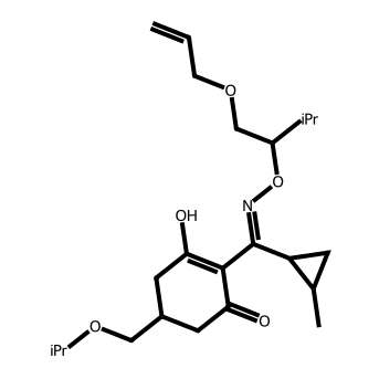 C=CCOCC(ON=C(C1=C(O)CC(COC(C)C)CC1=O)C1CC1C)C(C)C